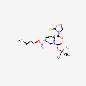 CCCCON[C@@H]1CC[C@@H](C(=O)N2CCOC2=S)N(C(=O)OC(C)(C)C)C1